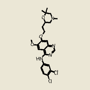 COc1cc2c(Nc3ccc(Cl)c(Cl)c3)ncnc2cc1OCCC1CN(C)CC(C)(C)O1